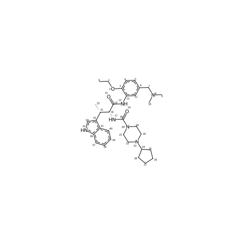 CCOc1ccc(CN(C)C)cc1NC(=O)[C@H](NC(=O)N1CCN(C2CCCC2)CC1)[C@@H](C)c1c[nH]c2ccccc12